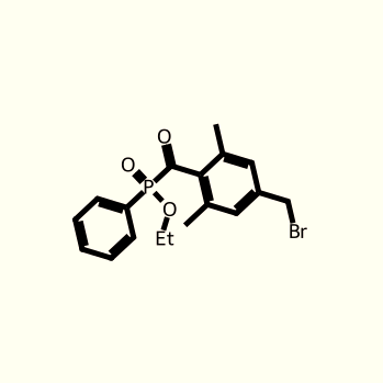 CCOP(=O)(C(=O)c1c(C)cc(CBr)cc1C)c1ccccc1